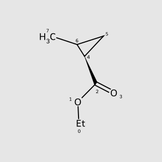 CCOC(=O)[C@@H]1CC1C